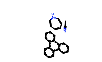 C1=CC=CNC=C1.CC#N.c1ccc2c(c1)c1ccccc1c1ccccc21